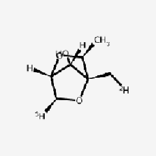 [2H]C[C@]12O[C@@H]([3H])[C@H](O[C@H]1C)[C@@H]2O